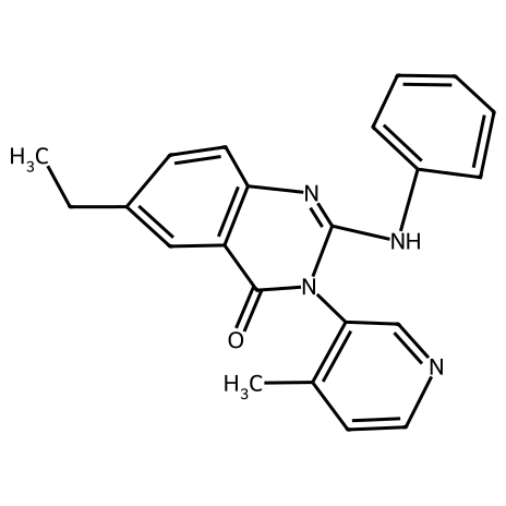 CCc1ccc2nc(Nc3ccccc3)n(-c3cnccc3C)c(=O)c2c1